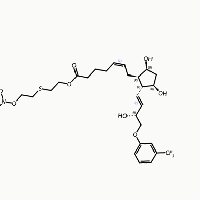 O=C(CCC/C=C\C[C@@H]1[C@@H](/C=C/[C@@H](O)COc2cccc(C(F)(F)F)c2)[C@H](O)C[C@@H]1O)OCCSCCON(O)O